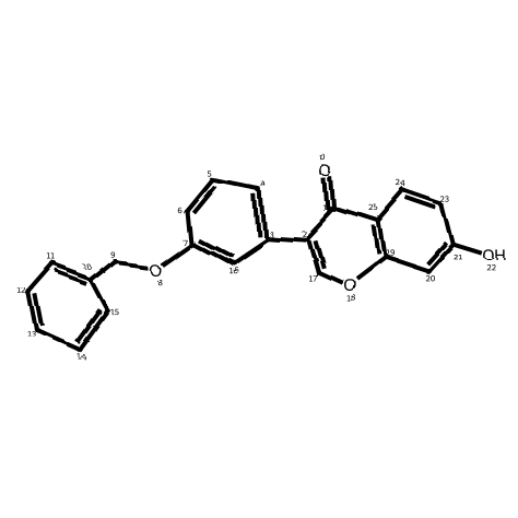 O=c1c(-c2cccc(OCc3ccccc3)c2)coc2cc(O)ccc12